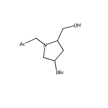 CC(=O)CN1CC(C(C)(C)C)CC1CO